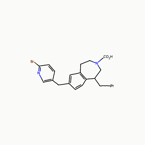 CC(C)CC1CN(C(=O)O)CCc2cc(Cc3ccc(Br)nc3)ccc21